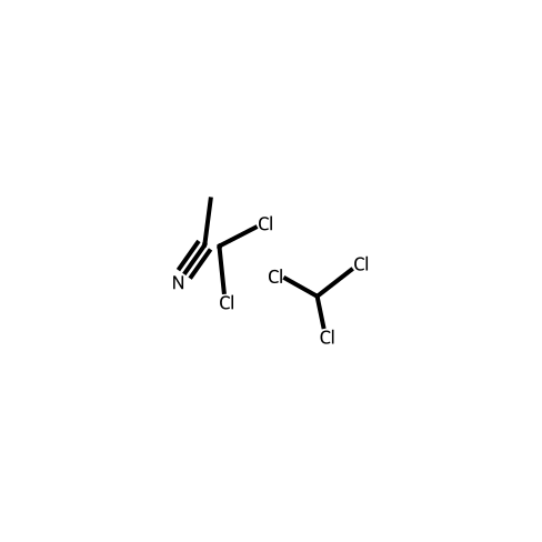 CC#N.ClC(Cl)Cl.ClCCl